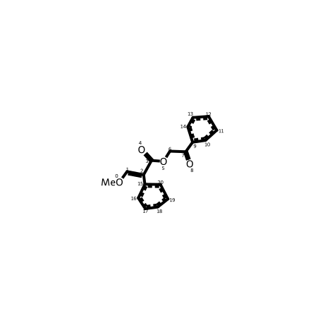 COC=C(C(=O)OCC(=O)c1ccccc1)c1ccccc1